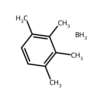 B.Cc1ccc(C)c(C)c1C